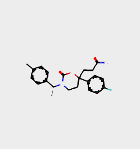 Cc1ccc([C@H](C)N2CCC(CCC(N)=O)(c3ccc(F)cc3)OC2=O)cc1